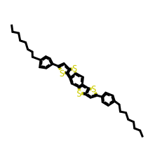 CCCCCCCCc1ccc(-c2cc3sc4cc5c(cc4c3s2)sc2cc(-c3ccc(CCCCCCCC)cc3)sc25)cc1